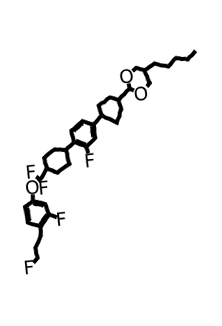 CCCCCC1COC(C2CCC(c3ccc(C4CCC(C(F)(F)Oc5ccc(CCCF)c(F)c5)CC4)c(F)c3)CC2)OC1